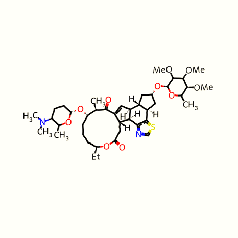 CC[C@H]1CCC[C@H](O[C@H]2CC[C@H](N(C)C)C(C)O2)[C@@H](C)C(=O)C2=C[C@H]3[C@@H]4C[C@H](O[C@@H]5OC(C)[C@H](OC)C(OC)C5OC)C[C@H]4c4scnc4[C@H]3[C@@H]2CC(=O)O1